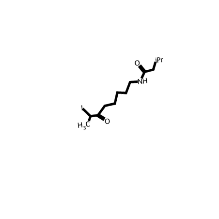 CC(C)CC(=O)NCCCCCC(=O)C(C)I